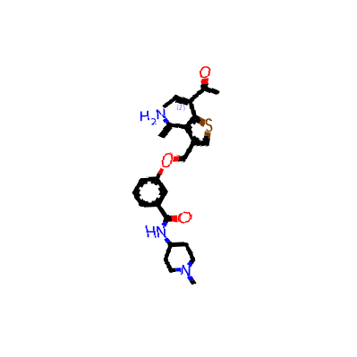 C=C(N)c1c(COc2cccc(C(=O)NC3CCN(C)CC3)c2)csc1/C(=C\C)C(C)=O